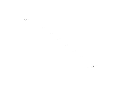 COCCOCCOCCOCCOCCOCCOCCOCCOCCOCCOCCOCCOCCOCCOCCOCCP(=O)(O)O